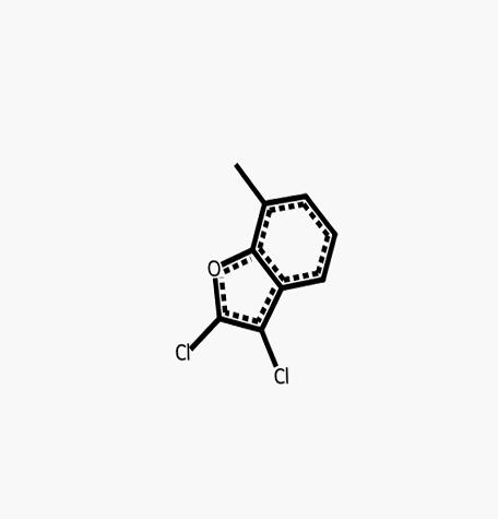 Cc1cccc2c(Cl)c(Cl)oc12